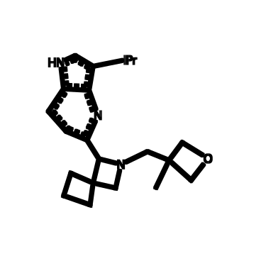 CC(C)c1c[nH]c2ccc(C3N(CC4(C)COC4)CC34CCC4)nc12